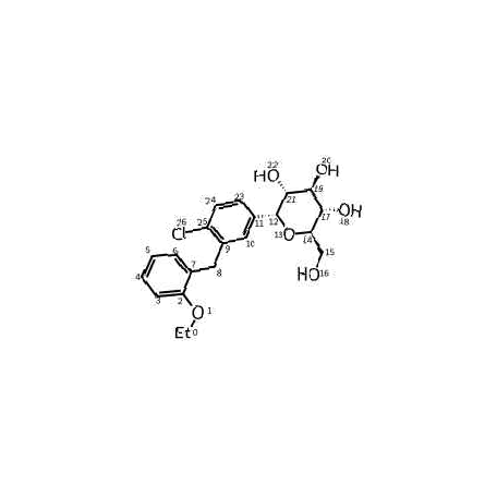 CCOc1ccccc1Cc1cc([C@H]2O[C@H](CO)[C@@H](O)[C@H](O)[C@H]2O)ccc1Cl